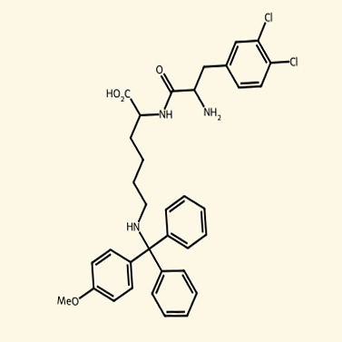 COc1ccc(C(NCCCCC(NC(=O)C(N)Cc2ccc(Cl)c(Cl)c2)C(=O)O)(c2ccccc2)c2ccccc2)cc1